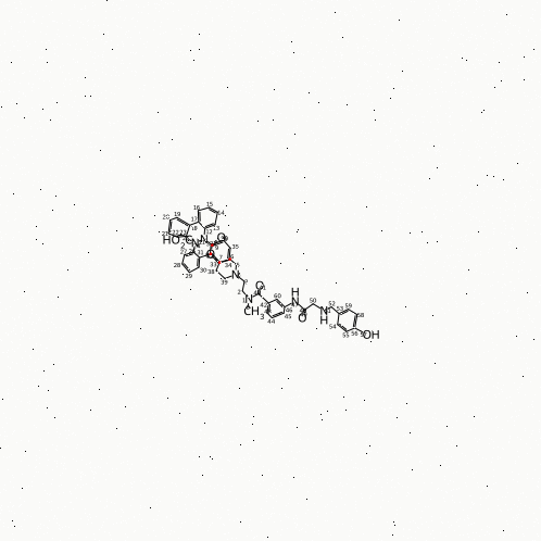 CN(CCN1CCC(OC(=O)N(c2ccccc2-c2ccccc2)N(C(=O)O)c2ccccc2-c2ccccc2)CC1)C(=O)c1cccc(NC(=O)CNCc2ccc(O)cc2)c1